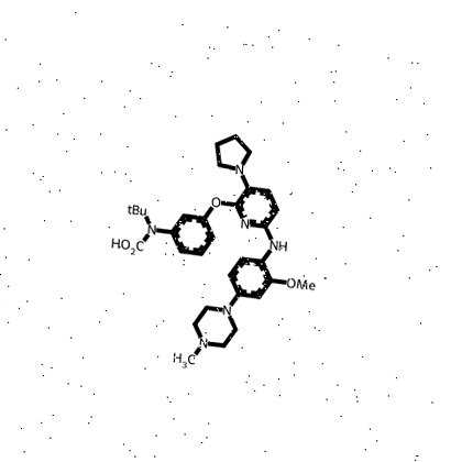 COc1cc(N2CCN(C)CC2)ccc1Nc1ccc(N2CCCC2)c(Oc2cccc(N(C(=O)O)C(C)(C)C)c2)n1